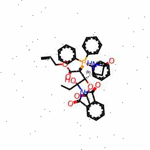 C=CCOC(=O)C(C(OC(C)=O)([C@H]1CC(=O)N1)C(O)(CC)N1C(=O)c2ccccc2C1=O)=P(c1ccccc1)(c1ccccc1)c1ccccc1